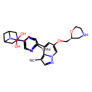 COc1ccc(C(O)(O)N2C3CC2CN(c2cnc(-c4cc(OC[C@@H]5CNCCO5)cn5ncc(C#N)c45)cn2)C3)cn1